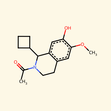 COc1cc2c(cc1O)C(C1CCC1)N(C(C)=O)CC2